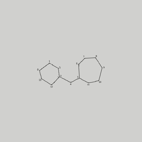 C1CC[C](CC2CCCCCC2)CC1